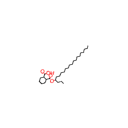 CCCCCCCCCCCCCCCCCC(CCC)OC(=O)C1CCCCC1C(=O)O